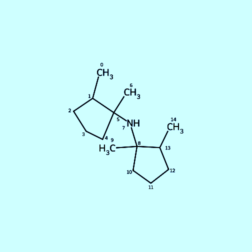 CC1CCCC1(C)NC1(C)CCCC1C